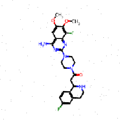 COc1cc2c(N)nc(N3CCN(C(=O)CC4NCCc5cc(F)ccc54)CC3)nc2c(F)c1OC